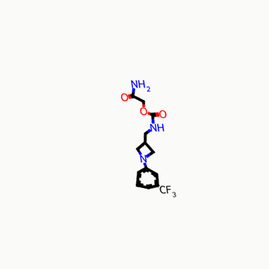 NC(=O)COC(=O)NCC1CN(c2cccc(C(F)(F)F)c2)C1